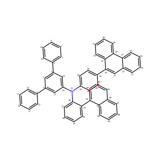 c1ccc(-c2cc(-c3ccccc3)cc(N(c3ccc(-c4cc5ccccc5c5ccccc45)cc3)c3ccccc3-c3cccc4ccccc34)c2)cc1